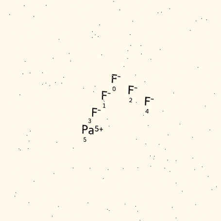 [F-].[F-].[F-].[F-].[F-].[Pa+5]